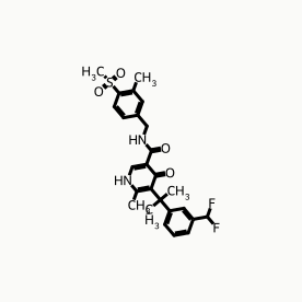 Cc1cc(CNC(=O)c2c[nH]c(C)c(C(C)(C)c3cccc(C(F)F)c3)c2=O)ccc1S(C)(=O)=O